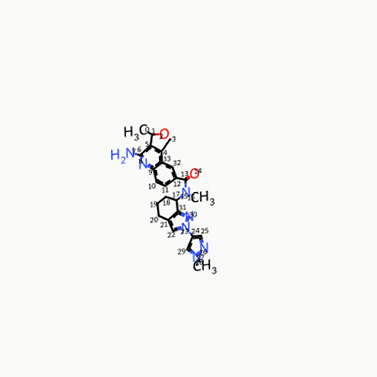 CC1OCc2c1c(N)nc1ccc(C(=O)N(C)C3CCCc4cn(-c5cnn(C)c5)nc43)cc21